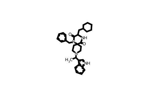 CC(c1c[nH]c2ccccc12)N1CCC2(CC1)C(=O)NC(CC1CCCCC1)C(=O)N2Cc1ccccc1